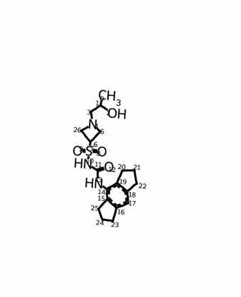 CC(O)CN1CC(S(=O)(=O)NC(=O)Nc2c3c(cc4c2CCC4)CCC3)C1